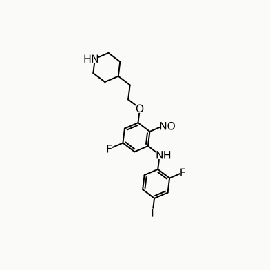 O=Nc1c(Nc2ccc(I)cc2F)cc(F)cc1OCCC1CCNCC1